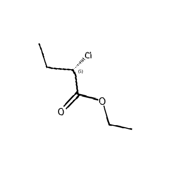 CCOC(=O)[C@@H](Cl)CC